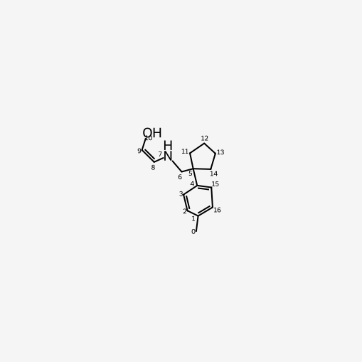 Cc1ccc(C2(CN/C=C\O)CCCC2)cc1